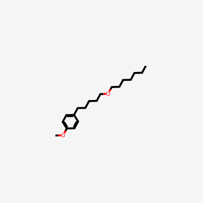 [CH2]CCCCCCOCCCCCc1ccc(OC)cc1